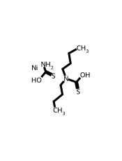 CCCCN(CCCC)C(O)=S.NC(O)=S.[Ni]